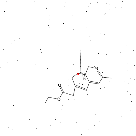 CCOC(=O)CC1=CC2=CC(C)=NCC23NC(C)CC3C1